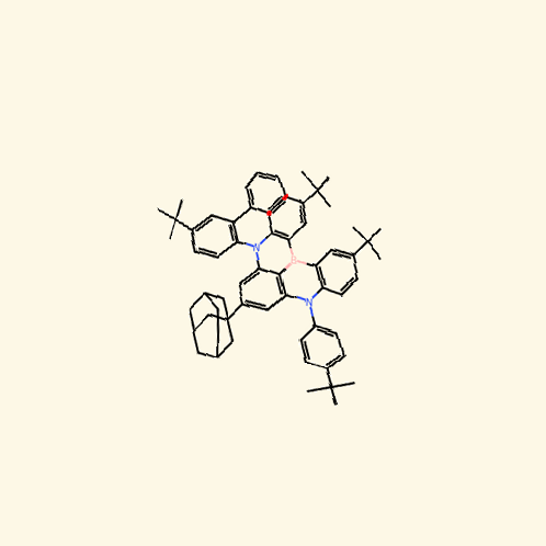 CC(C)(C)c1ccc(N2c3ccc(C(C)(C)C)cc3B3c4cc(C(C)(C)C)ccc4N(c4ccc(C(C)(C)C)cc4-c4ccccc4)c4cc(C56CC7CC(CC(C7)C5)C6)cc2c43)cc1